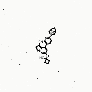 N#Cc1cnn2cc(OC3(O)CCC3)cc(-c3ccc(N4CC5CC(C4)N5)nc3)c12